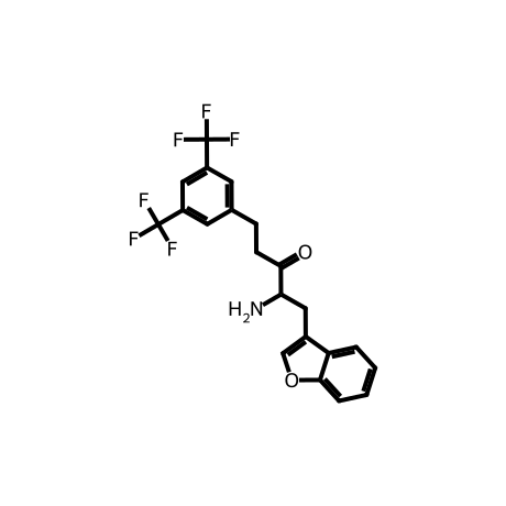 NC(Cc1coc2ccccc12)C(=O)CCc1cc(C(F)(F)F)cc(C(F)(F)F)c1